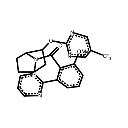 COc1cccc(-c2ncccn2)c1C(=O)N1C2CCC1C(Oc1ncc(C(F)(F)F)cn1)C2